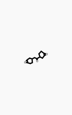 O=C(CC1CCC2OC2C1)C1CCC2OC2C1